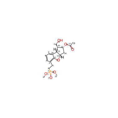 COP(=O)(CCc1cccc2c1O[C@H]1C[C@@H](OC(C)=O)[C@H](CO)[C@@H]21)OC